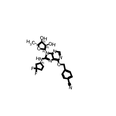 C[C@H]1O[C@@H](n2c(N[C@@H]3CCC(F)(F)C3)nc3c(OCc4ccc(C#N)cc4)ncnc32)[C@H](O)[C@@H]1O